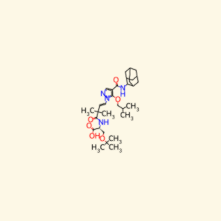 CC(C)COc1c(C(=O)NC2C3CC4CC(C3)CC2C4)cnn1/C=C/C(C)(C)C(=O)N[C@@H](COC(C)(C)C)C(=O)O